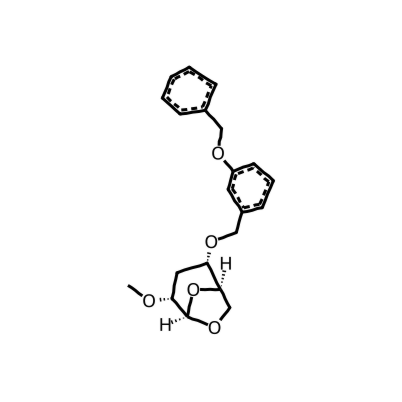 CO[C@@H]1C[C@H](OCc2cccc(OCc3ccccc3)c2)[C@H]2CO[C@@H]1O2